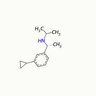 CC(C)N[C@H](C)c1cccc(C2CC2)c1